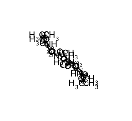 Cc1cc(C(=O)Nc2ccc(CNC(=O)OC(C)(C)C)cc2)c(C)cc1C(=O)Nc1ccc(CNC(=O)OC(C)(C)C)cc1